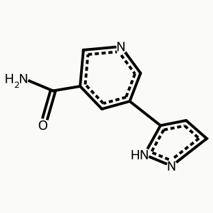 NC(=O)c1cncc(-c2ccn[nH]2)c1